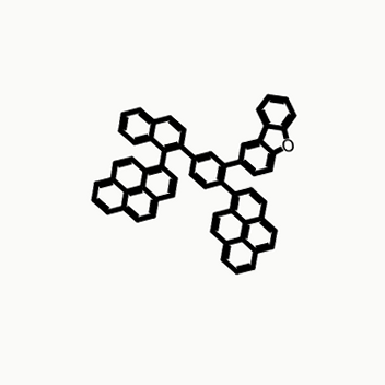 c1ccc2c(-c3ccc4ccc5cccc6ccc3c4c56)c(-c3ccc(-c4ccc5ccc6cccc7ccc4c5c67)c(-c4ccc5oc6ccccc6c5c4)c3)ccc2c1